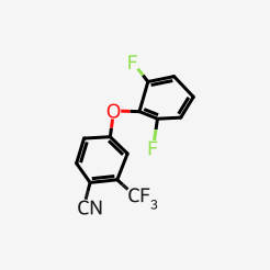 N#Cc1ccc(Oc2c(F)cccc2F)cc1C(F)(F)F